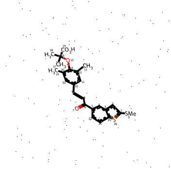 CSc1cc2cc(C(=O)/C=C/c3cc(C)c(OC(C)(C)C(=O)O)c(C)c3)ccc2s1